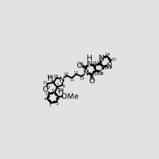 COc1cccc2c1[C@H]1CN(CCCCn3c(=O)[nH]c4c(sc5nccnc54)c3=O)C[C@@H]1CO2